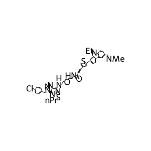 CCCSc1nc(NCCOCCNC(=O)C#Cc2csc(-c3ccc4c5cc(CNC)ccc5n(CC)c4c3)c2)c2nnn(Cc3ccc(Cl)cc3)c2n1